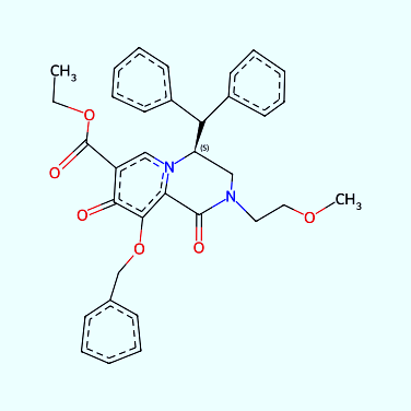 CCOC(=O)c1cn2c(c(OCc3ccccc3)c1=O)C(=O)N(CCOC)C[C@@H]2C(c1ccccc1)c1ccccc1